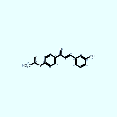 CC(Oc1ccc(C(=O)C=Cc2cccc(O)c2)cc1)C(=O)O